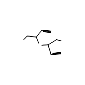 C=CC(CC(F)(F)F)OC(C=C)CC(F)(F)F